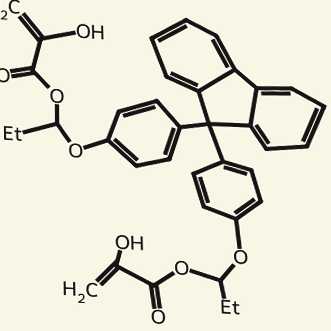 C=C(O)C(=O)OC(CC)Oc1ccc(C2(c3ccc(OC(CC)OC(=O)C(=C)O)cc3)c3ccccc3-c3ccccc32)cc1